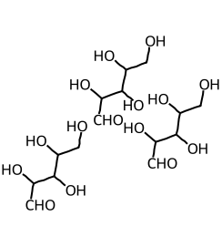 O=CC(O)C(O)C(O)CO.O=CC(O)C(O)C(O)CO.O=CC(O)C(O)C(O)CO